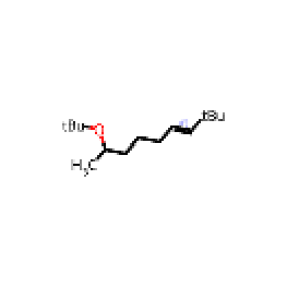 CC(CCC/C=C/C(C)(C)C)OC(C)(C)C